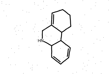 C1=CC2NCC3=CCCCC3C2C=C1